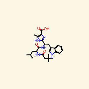 Cc1[nH]c([C@@H](Cc2c[nH]c3ccccc23)NC(=O)C(CC(C)C)NC(=O)CC(C)(C)C)nc1C(=O)O